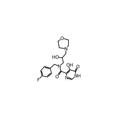 O=C(c1nc[nH]c(=O)c1O)N(Cc1ccc(F)cc1)CC(O)CN1CCOCC1